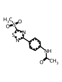 CC(=O)Nc1ccc(-c2nsc(S(C)(=O)=O)n2)cc1